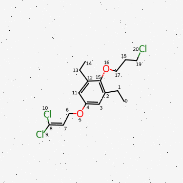 CCc1cc(OCC=C(Cl)Cl)cc(CC)c1OCCCCl